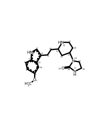 COc1ccc2[nH]cc(CCC3CC(N4CCNC4=O)CCN3)c2c1